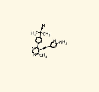 Cc1ncnc(-c2ccc(C(C)(C)C#N)cc2)c1C#Cc1ccc(N)nc1